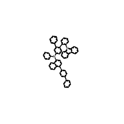 c1ccc(-c2ccc(-c3ccc(N(c4ccccc4)c4ccc(-c5ccccc5-n5c6ccccc6c6ccccc65)c(-c5ccccc5)c4)c4ccccc34)cc2)cc1